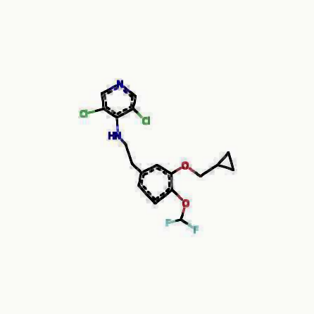 FC(F)Oc1ccc(CCNc2c(Cl)cncc2Cl)cc1OCC1CC1